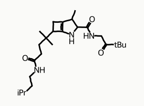 CC(C)CCNC(=O)CCC(C)(C)C1CC2=C1NC(C(=O)NCC(=O)C(C)(C)C)C2C